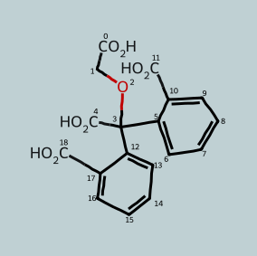 O=C(O)COC(C(=O)O)(c1ccccc1C(=O)O)c1ccccc1C(=O)O